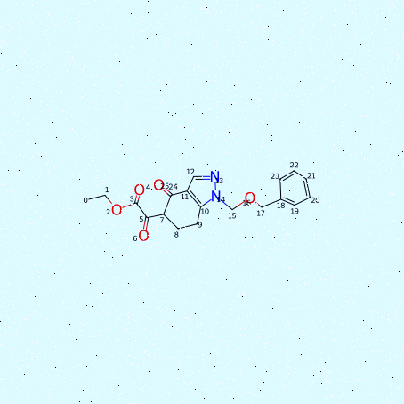 CCOC(=O)C(=O)C1CCc2c(cnn2COCc2ccccc2)C1=O